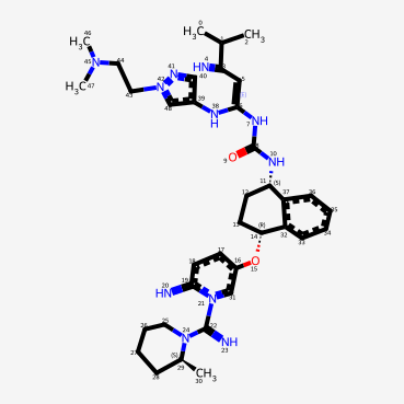 CC(C)C(=N)/C=C(/NC(=O)N[C@H]1CC[C@@H](Oc2ccc(=N)n(C(=N)N3CCCC[C@@H]3C)c2)c2ccccc21)Nc1cnn(CCN(C)C)c1